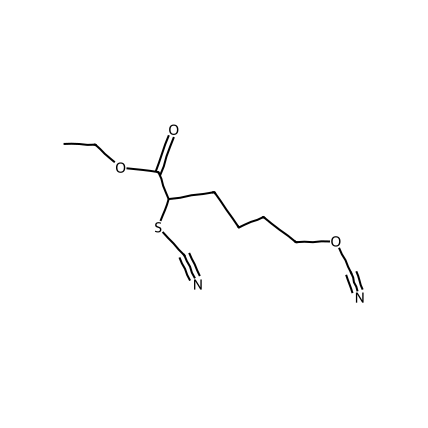 CCOC(=O)C(CCCCOC#N)SC#N